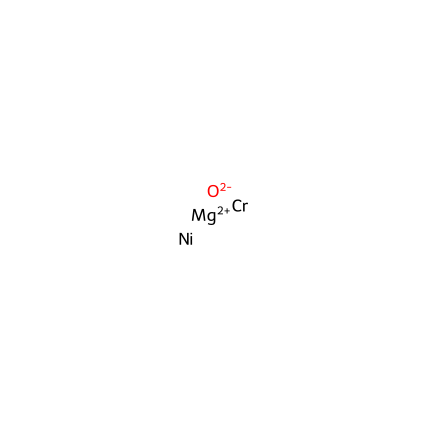 [Cr].[Mg+2].[Ni].[O-2]